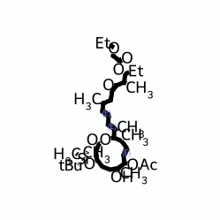 CCOCC(=O)OC(CC)C(C)C1OC1CC(C)/C=C/C=C(\C)C1OC(=O)CC(O[Si](C)(C)C(C)(C)C)CCC(C)(O)C(OC(C)=O)/C=C/C1C